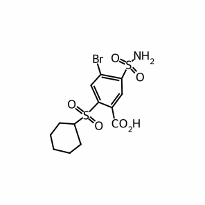 NS(=O)(=O)c1cc(C(=O)O)c(S(=O)(=O)C2CCCCC2)cc1Br